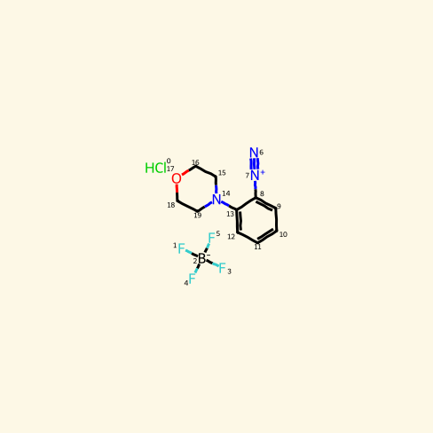 Cl.F[B-](F)(F)F.N#[N+]c1ccccc1N1CCOCC1